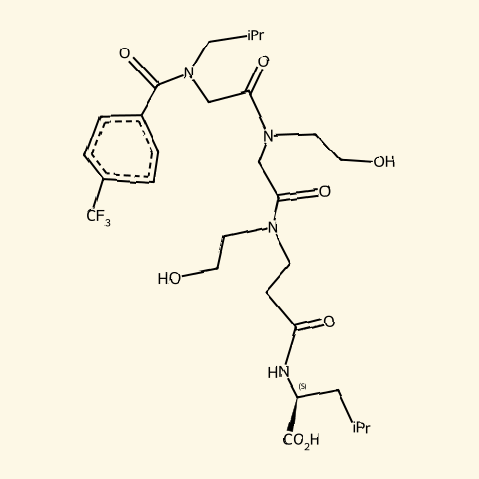 CC(C)C[C@H](NC(=O)CCN(CCO)C(=O)CN(CCO)C(=O)CN(CC(C)C)C(=O)c1ccc(C(F)(F)F)cc1)C(=O)O